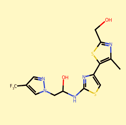 Cc1nc(CO)sc1-c1csc(NC(O)Cn2cc(C(F)(F)F)cn2)n1